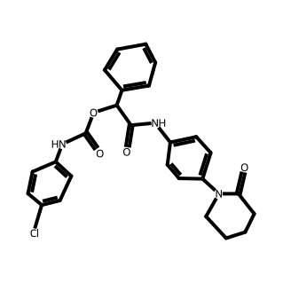 O=C(Nc1ccc(Cl)cc1)OC(C(=O)Nc1ccc(N2CCCCC2=O)cc1)c1ccccc1